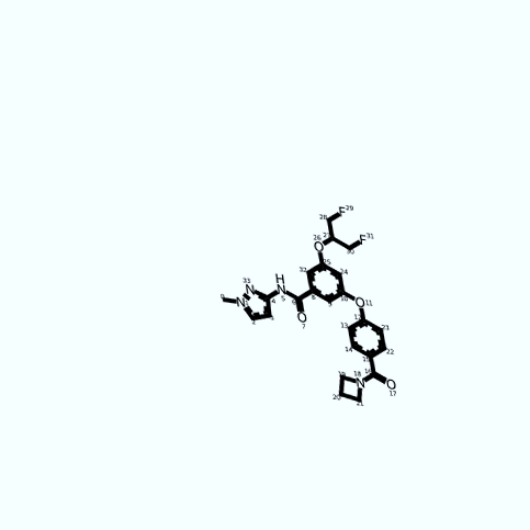 Cn1ccc(NC(=O)c2cc(Oc3ccc(C(=O)N4CCC4)cc3)cc(OC(CF)CF)c2)n1